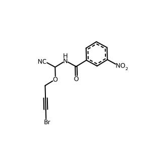 N#CC(NC(=O)c1cccc([N+](=O)[O-])c1)OCC#CBr